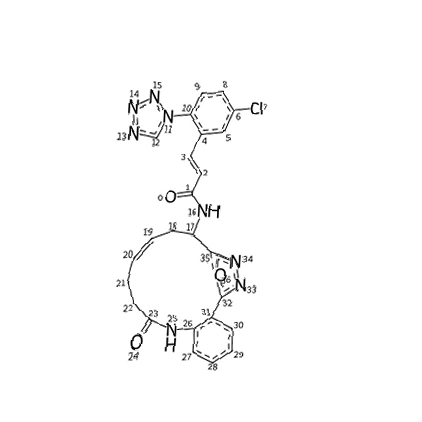 O=C(C=Cc1cc(Cl)ccc1-n1cnnn1)NC1CC=CCCC(=O)Nc2ccccc2-c2nnc1o2